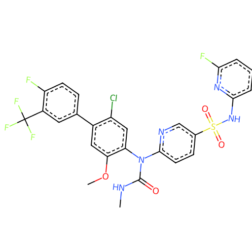 CNC(=O)N(c1ccc(S(=O)(=O)Nc2cccc(F)n2)cn1)c1cc(Cl)c(-c2ccc(F)c(C(F)(F)F)c2)cc1OC